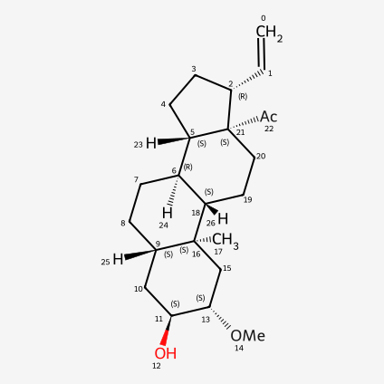 C=C[C@H]1CC[C@H]2[C@@H]3CC[C@H]4C[C@H](O)[C@@H](OC)C[C@]4(C)[C@H]3CC[C@]12C(C)=O